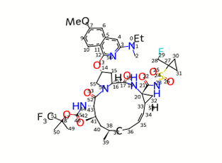 CCN(C)c1cc2cc(OC)ccc2c(O[C@@H]2C[C@H]3C(=O)N[C@]4(C(=O)NS(=O)(=O)C5(CF)CC5)C[C@H]4/C=C\CC[C@@H](C)C[C@@H](C)[C@H](NC(=O)OC(C)(C)C(F)(F)F)C(=O)N3C2)n1